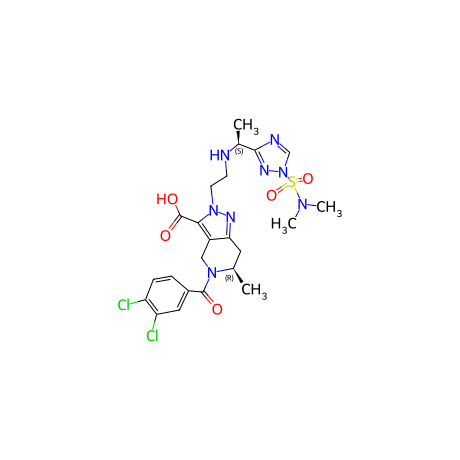 C[C@H](NCCn1nc2c(c1C(=O)O)CN(C(=O)c1ccc(Cl)c(Cl)c1)[C@H](C)C2)c1ncn(S(=O)(=O)N(C)C)n1